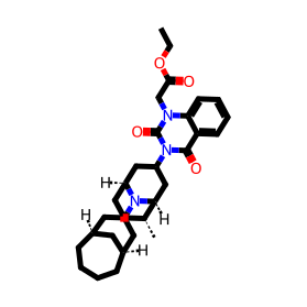 CCOC(=O)Cn1c(=O)n(C2C[C@@H]3CC[C@@H](C)[C@H](C2)N3C2C[C@H]3CCCC[C@@H](C2)C3)c(=O)c2ccccc21